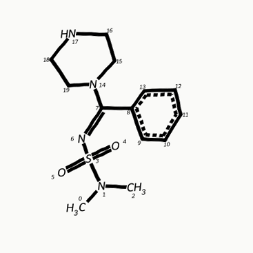 CN(C)S(=O)(=O)/N=C(\c1ccccc1)N1CCNCC1